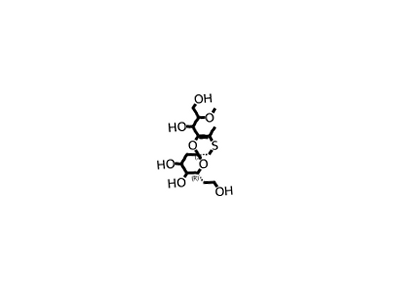 COC(CO)C(O)C1=C(C)SC[C@]2(CC(O)C(O)[C@@H](CCO)O2)O1